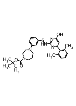 Cc1cccc(C)c1-c1cc(O)nc(NSc2cccc(N3CCCN(C(=O)OC(C)(C)C)CC3)c2)n1